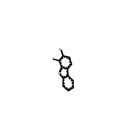 Cc1c(Cl)ccc2c1sc1ccccc12